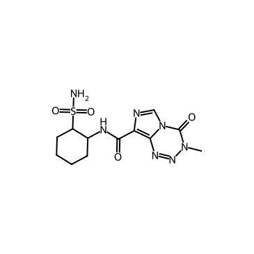 Cn1nnc2c(C(=O)NC3CCCCC3S(N)(=O)=O)ncn2c1=O